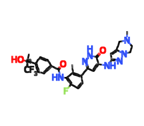 Cc1c(-c2cc(Nc3cc4n(n3)CCN(C)C4)c(=O)[nH]n2)ccc(F)c1NC(=O)c1ccc([C@@](C)(O)C(F)(F)F)cc1